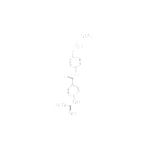 CNSNCc1ccc(OC(=O)c2ccc(NC(=N)N)cc2)cc1